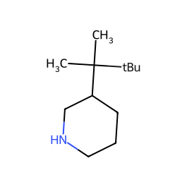 CC(C)(C)C(C)(C)C1CCCNC1